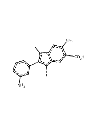 Cn1c(-c2cccc(N)c2)c(I)c2cc(C(=O)O)c(O)cc21